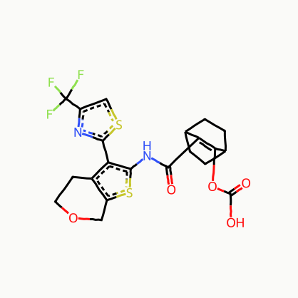 O=C(O)OC1=C(C(=O)Nc2sc3c(c2-c2nc(C(F)(F)F)cs2)CCOC3)C2CCC1CC2